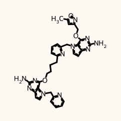 Cc1cc(COc2nc(N)nc3ccn(Cc4cccc(CCCCOc5nc(N)nc6ccn(Cc7ccccn7)c56)n4)c23)no1